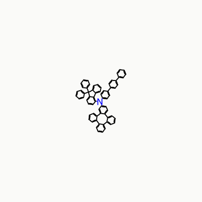 c1ccc(-c2ccc(-c3ccc(N(c4ccc5c(c4)-c4ccccc4-c4ccccc4-c4ccccc4-5)c4cccc5c4-c4ccccc4C5(c4ccccc4)c4ccccc4)cc3)cc2)cc1